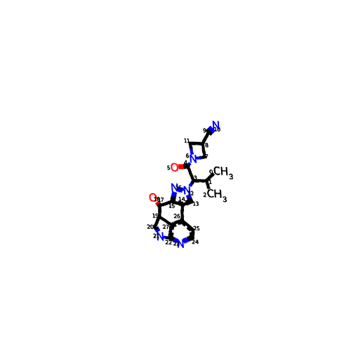 CC(C)C(C(=O)N1CC(C#N)C1)n1cc2c(n1)C(=O)C1C=Nc3nccc-2c31